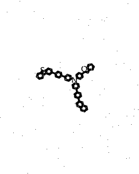 c1ccc2cc(-c3ccc(-c4ccc(N(c5ccc(-c6ccc(-c7ccc8sc9ccccc9c8c7)cc6)cc5)c5ccc(-c6cc7ccccc7o6)cc5)cc4)cc3)ccc2c1